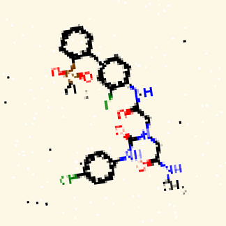 CNC(=O)CN(CC(=O)Nc1ccc(-c2ccccc2S(C)(=O)=O)cc1F)C(=O)Nc1ccc(Cl)cc1